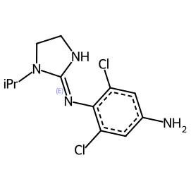 CC(C)N1CCN/C1=N\c1c(Cl)cc(N)cc1Cl